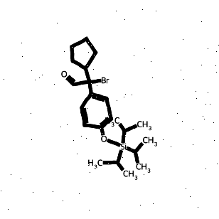 CC(C)[Si](Oc1ccc(C(Br)(C=O)C2CCCC2)cc1)(C(C)C)C(C)C